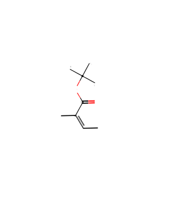 CC=C(C)C(=O)OC(C)(C)C